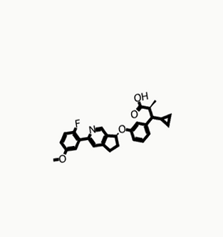 COc1ccc(F)c(-c2cc3c(cn2)[C@H](Oc2cccc(C(C4CC4)[C@H](C)C(=O)O)c2)CC3)c1